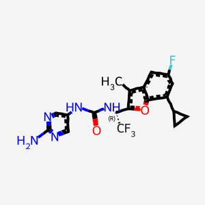 Cc1c([C@@H](NC(=O)Nc2cnc(N)nc2)C(F)(F)F)oc2c(C3CC3)cc(F)cc12